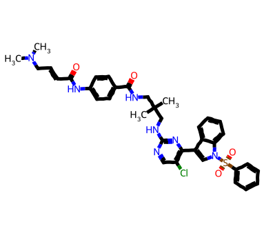 CN(C)CC=CC(=O)Nc1ccc(C(=O)NCC(C)(C)CNc2ncc(Cl)c(-c3cn(S(=O)(=O)c4ccccc4)c4ccccc34)n2)cc1